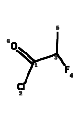 O=C(Cl)C(F)I